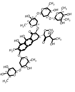 COC(C(=O)C(O)C(C)O)[C@@H]1Cc2cc3cc(O[C@H]4C[C@@H](O[C@H]5C[C@@H](O)[C@H](O)[C@@H](C)O5)[C@H](O)[C@@H](C)O4)c(C)c(O)c3c(O)c2C(=O)[C@H]1O[C@H]1C[C@@H](O[C@H]2C[C@@H](O[C@H]3C[C@](C)(O)[C@H](O)[C@@H](C)O3)[C@@H](O)[C@@H](C)O2)[C@H](O)[C@@H](C)O1